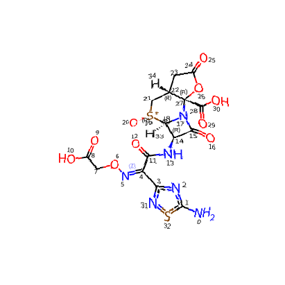 Nc1nc(/C(=N/OCC(=O)O)C(=O)N[C@@H]2C(=O)N3[C@@H]2[S@@+]([O-])C[C@@H]2CC(=O)O[C@@]23C(=O)O)ns1